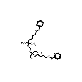 CCC(CC)(CCOC(C)(C)CCCCSSc1ccccn1)OCCCCSSc1ccccn1